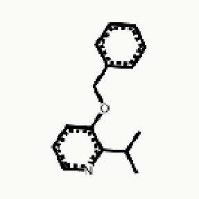 CC(C)c1ncccc1OCc1ccccc1